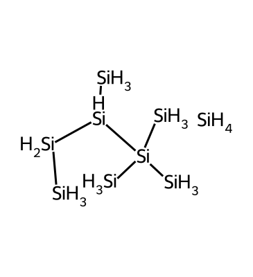 [SiH3][SiH2][SiH]([SiH3])[Si]([SiH3])([SiH3])[SiH3].[SiH4]